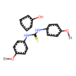 CCOc1ccc(NC(=S)Nc2ccc(OCC)cc2)cc1.Oc1ccccc1